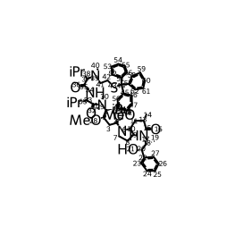 CC[C@H](C)[C@@H]([C@@H](CC(=O)N1CCCC1[C@H](OC)[C@@H](C)C(=O)N[C@H](C)[C@@H](O)c1ccccc1)OC)N(C)C(=O)C(NC(=O)C(C(C)C)N(C)CCSC(c1ccccc1)(c1ccccc1)c1ccccc1)C(C)C